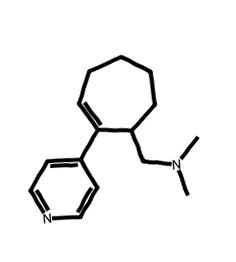 CN(C)CC1CCCCC=C1c1ccncc1